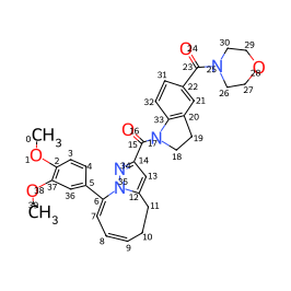 COc1ccc(/C2=C/C=C\CCc3cc(C(=O)N4CCc5cc(C(=O)N6CCOCC6)ccc54)nn32)cc1OC